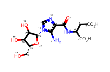 Nc1c(C(=O)NC(CC(=O)O)C(=O)O)ncn1[C@@H]1O[C@H](CO)C(O)C1O